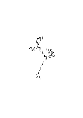 CCCCCCCC/C=C\CCCCCCC(C)[N+]1=CNCC1.COS(=O)(=O)[O-]